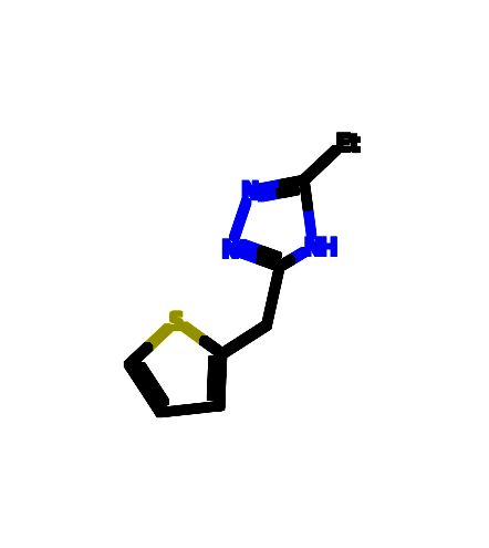 CCc1nnc(Cc2cccs2)[nH]1